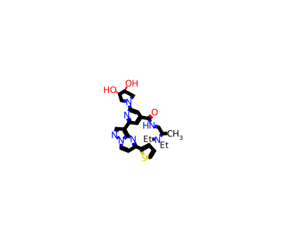 CCN(CC)C(C)CNC(=O)c1cc(-c2cnn3ccc(-c4cccs4)nc23)nc(N2C[C@H](O)[C@@H](O)C2)c1